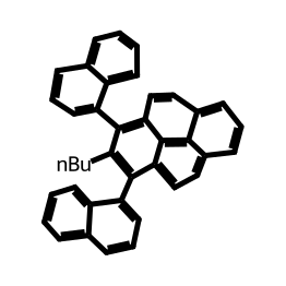 CCCCc1c(-c2cccc3ccccc23)c2ccc3cccc4ccc(c1-c1cccc5ccccc15)c2c34